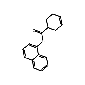 O=C(Oc1cccc2ccccc12)C1CC=CCC1